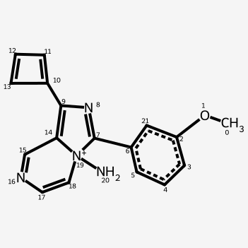 COc1cccc(C2=NC(C3=CC=C3)=C3C=NC=C[N+]23N)c1